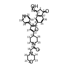 O=C1CC(=NO)c2cc(-c3oc(C4CCN(C(=O)CN5CCOCC5)CC4)cc3-c3ccncc3)ccc21